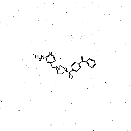 C=C(c1ccccc1)c1ccc(C(=O)N2CCN(Cc3ccnc(N)c3)CC2)cc1